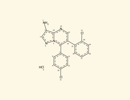 Cl.Nc1cnn2c(-c3ccc(Cl)cc3)c(-c3ccccc3Cl)cnc12